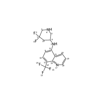 FC1(F)CNCC(Nc2ccc(C(F)(F)F)c3ncccc23)C1